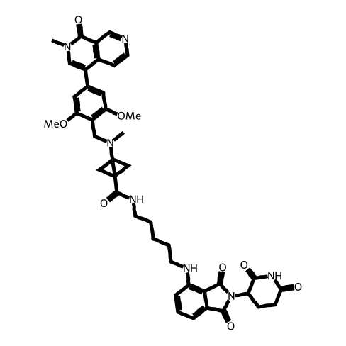 COc1cc(-c2cn(C)c(=O)c3cnccc23)cc(OC)c1CN(C)C12CC1(C(=O)NCCCCCNc1cccc3c1C(=O)N(C1CCC(=O)NC1=O)C3=O)C2